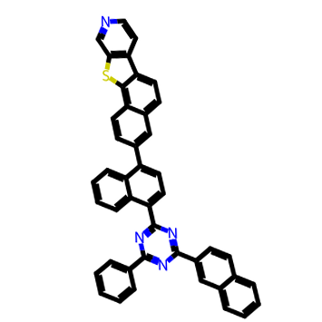 c1ccc(-c2nc(-c3ccc4ccccc4c3)nc(-c3ccc(-c4ccc5c(ccc6c7ccncc7sc56)c4)c4ccccc34)n2)cc1